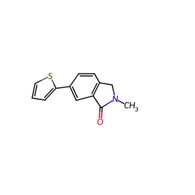 CN1Cc2ccc(-c3cccs3)cc2C1=O